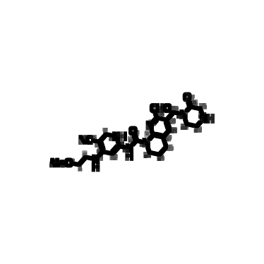 COCCNC1=C(C#N)CNC(NC(=O)N2CCCc3cc(CN4CCNCC4=O)c(C=O)nc32)=C1